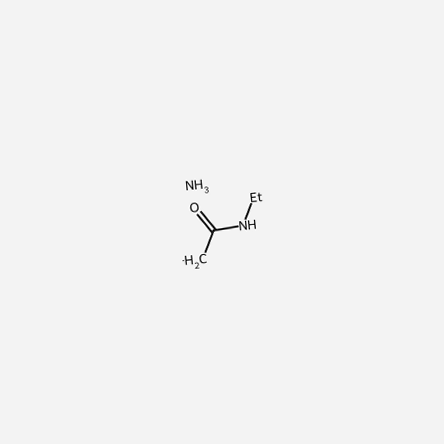 N.[CH2]C(=O)NCC